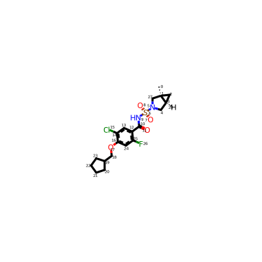 C[C@]12C[C@H]1CN(S(=O)(=O)NC(=O)c1cc(Cl)c(OCC3CCCC3)cc1F)C2